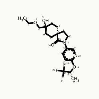 CCOC[C@]1(O)CC[C@@]2(CCN(c3ccc(O[C@H](C)C(F)(F)F)nc3)C2=O)CC1